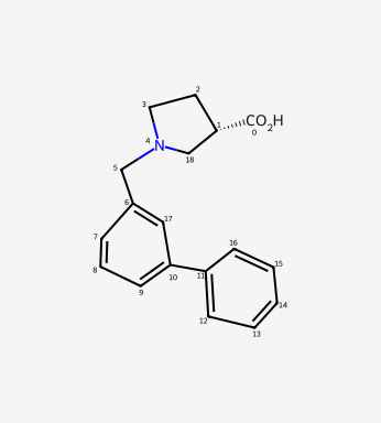 O=C(O)[C@H]1CCN(Cc2cccc(-c3ccccc3)c2)C1